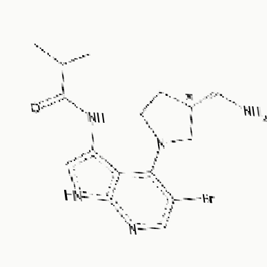 CC(C)C(=O)Nc1c[nH]c2ncc(Br)c(N3CC[C@H](CN)C3)c12